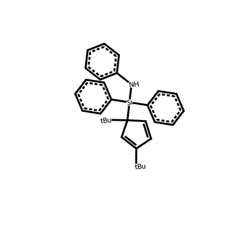 CC(C)(C)C1=CC(C(C)(C)C)([Si](Nc2ccccc2)(c2ccccc2)c2ccccc2)C=C1